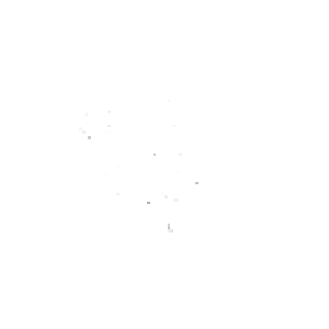 N#Cc1cnc2cc(-c3ccc(CN4CCOCC4)o3)ccc2c1Nc1ccc(Oc2ccccc2)c(Cl)c1